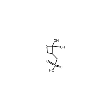 O=S(=O)(O)CC1CSC1(O)O